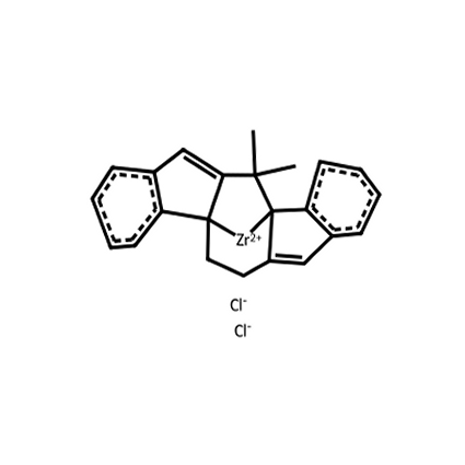 CC1(C)C2=Cc3ccccc3[C]23CCC2=Cc4ccccc4[C]21[Zr+2]3.[Cl-].[Cl-]